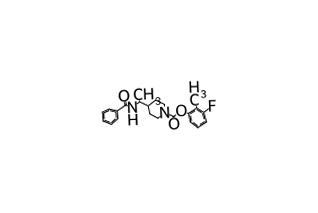 Cc1c(F)cccc1OC(=O)N1CCC([C@@H](C)NC(=O)c2ccccc2)CC1